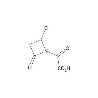 O=C(O)C(=O)N1C(=O)CC1Cl